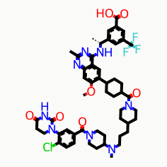 COc1cc2nc(C)nc(N[C@H](C)c3cc(C(=O)O)cc(C(F)(F)F)c3)c2cc1C1CCC(C(=O)N2CCC(CCCN(C)C3CCN(C(=O)c4ccc(Cl)c(N5CCC(=O)NC5=O)c4)CC3)CC2)CC1